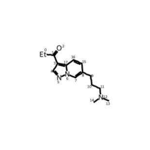 CCC(=O)c1cnn2cc(CCCN(C)C)ccc12